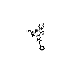 CC(C)(C)OC(=O)N[C@H](CC(=O)OCc1ccccc1)C(=O)NN1CCOCC1